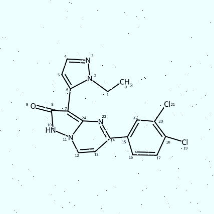 CCn1nccc1-c1c(=O)[nH]n2ccc(-c3ccc(Cl)c(Cl)c3)nc12